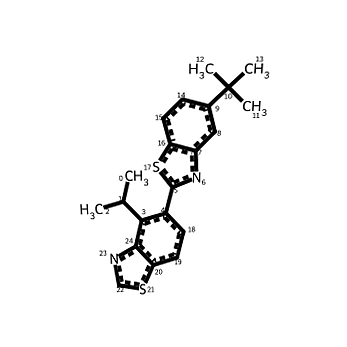 CC(C)c1c(-c2nc3cc(C(C)(C)C)ccc3s2)ccc2scnc12